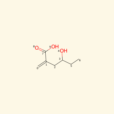 C=C(CC(O)CC)C(=O)O